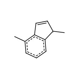 C[C]1C=Cc2c(C)cccc21